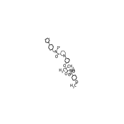 COc1ccc(S(=O)(=O)NC(=O)C(C)(C)Oc2cccc(N3CCC[C@H](C(=O)N(Cc4ccc(-c5cccs5)cc4)C4CC4)C3)c2)cc1